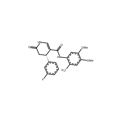 COc1cc(C)c(NC(=O)C2=CNC(=O)C[C@H]2c2cccc(F)c2)cc1OC